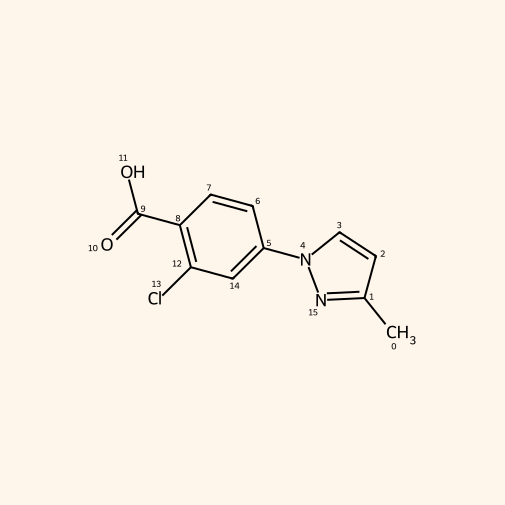 Cc1ccn(-c2ccc(C(=O)O)c(Cl)c2)n1